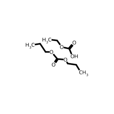 CCCOC(=O)OCCC.CCOC(=O)O